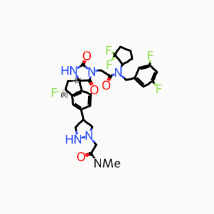 CNC(=O)CN1CC(c2ccc3c(c2)[C@H](F)C[C@]32NC(=O)N(CC(=O)N(Cc3cc(F)cc(F)c3)C3CCCC3(F)F)C2=O)CN1